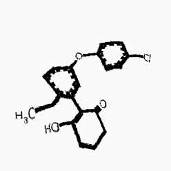 CCc1ccc(Oc2ccc(Cl)cc2)cc1C1=C(O)CCCC1=O